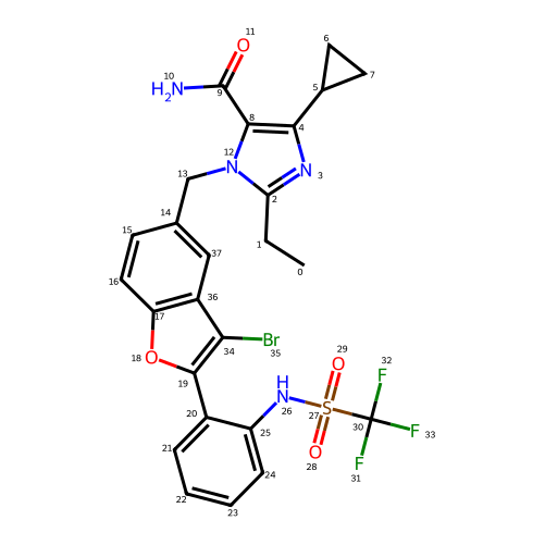 CCc1nc(C2CC2)c(C(N)=O)n1Cc1ccc2oc(-c3ccccc3NS(=O)(=O)C(F)(F)F)c(Br)c2c1